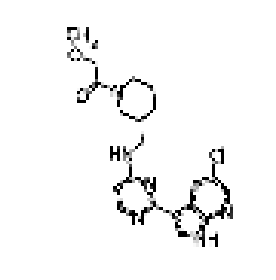 COCC(=O)N1CCC[C@H](CNc2ccnc(-c3c[nH]c4ncc(Cl)cc34)n2)C1